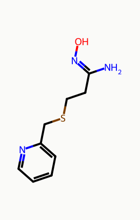 NC(CCSCc1ccccn1)=NO